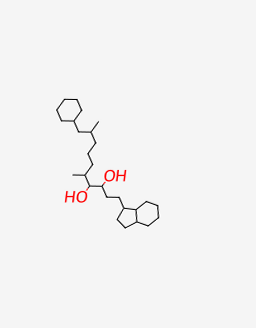 CC(CCCC(C)C(O)C(O)CCC1CCC2CCCCC21)CC1CCCCC1